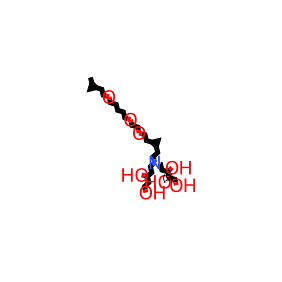 CC1CC1CCOCCCCCOCCOCCC1CC1CCN(CCC(O)CCO)CCC(O)[C@@H](O)CO